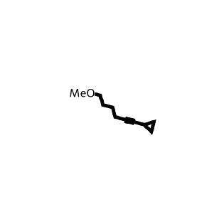 COCCCCC#CC1[CH]C1